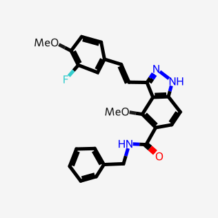 COc1ccc(C=Cc2n[nH]c3ccc(C(=O)NCc4ccccc4)c(OC)c23)cc1F